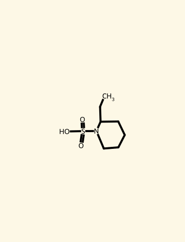 CCC1CCCCN1S(=O)(=O)O